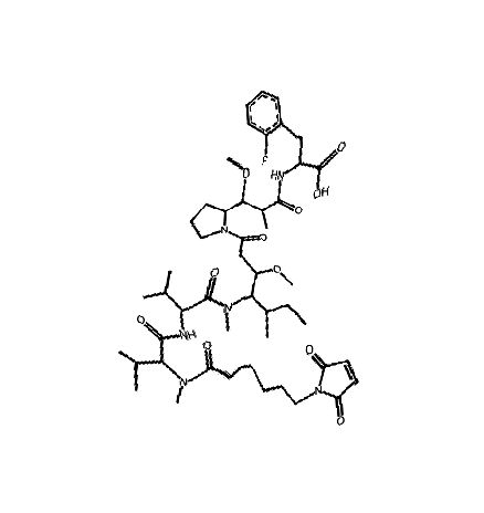 CCC(C)C(C(CC(=O)N1CCC[C@H]1C(OC)C(C)C(=O)NC(Cc1ccccc1F)C(=O)O)OC)N(C)C(=O)C(NC(=O)C(C(C)C)N(C)C(=O)CCCCCN1C(=O)C=CC1=O)C(C)C